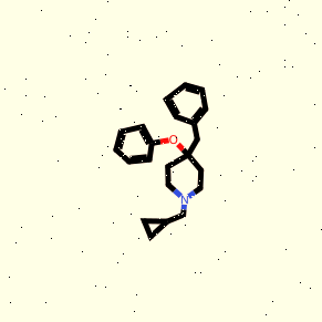 c1ccc(CC2(Oc3ccccc3)CCN(CC3CC3)CC2)cc1